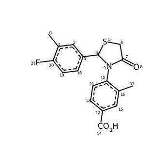 Cc1cc(C2SCC(=O)N2c2ccc(C(=O)O)cc2C)ccc1F